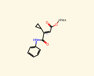 CCCCCCOC(=O)/C=C(/C(=O)Nc1ccccc1)C1CC1